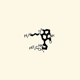 CC(=O)O.NCCCNc1cc(-c2ccc[nH]2)c2c3c(ccc(F)c13)NC2=O